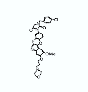 COc1cc2c(Oc3ccc(N4C(=O)CN(Cc5ccc(Cl)cc5)C4=O)cc3F)ccnc2cc1OCCCN1CCOCC1